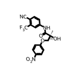 C[C@](O)(COc1ccc([N+](=O)[O-])cc1)C(=O)Nc1ccc(C#N)c(C(F)(F)F)c1